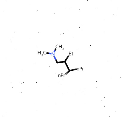 CCCC(CCC)C(CC)CN(C)C